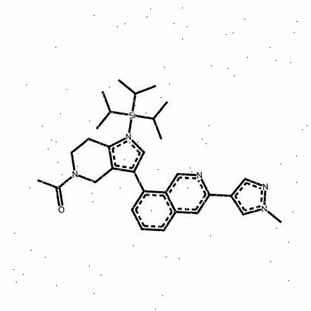 CC(=O)N1CCc2c(c(-c3cccc4cc(-c5cnn(C)c5)ncc34)cn2[Si](C(C)C)(C(C)C)C(C)C)C1